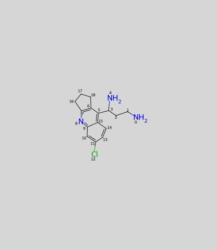 NCCC(N)c1c2c(nc3cc(Cl)ccc13)CCC2